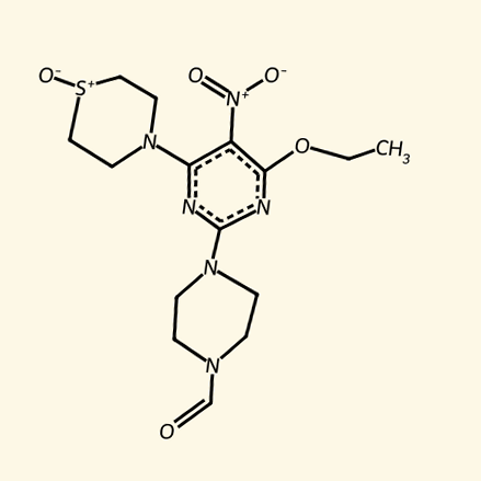 CCOc1nc(N2CCN(C=O)CC2)nc(N2CC[S+]([O-])CC2)c1[N+](=O)[O-]